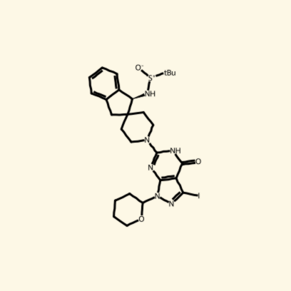 CC(C)(C)[S+]([O-])N[C@@H]1c2ccccc2CC12CCN(c1nc3c(c(I)nn3C3CCCCO3)c(=O)[nH]1)CC2